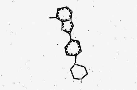 Cc1cccn2cc(-c3ccc(N4CCNCC4)cc3)nc12